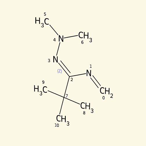 C=N/C(=N\N(C)C)C(C)(C)C